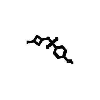 Cc1ccc(S(=O)(=O)OC2CC(F)C2)cc1